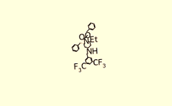 CC[C@@H]1C[C@H](NCc2cc(C(F)(F)F)cc(C(F)(F)F)c2)C[C@H](Cc2ccccc2)N1C(=O)OCc1ccccc1